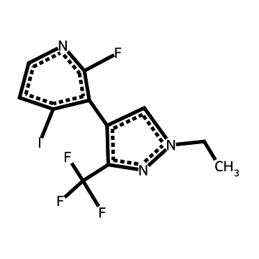 CCn1cc(-c2c(I)ccnc2F)c(C(F)(F)F)n1